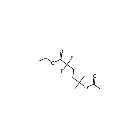 CCOC(=O)C(F)(F)CCC(C)(C)OC(C)=O